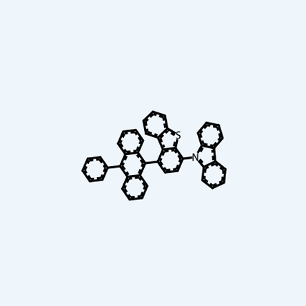 c1ccc(-c2c3ccccc3c(-c3ccc(-n4c5ccccc5c5ccccc54)c4sc5ccccc5c34)c3ccccc23)cc1